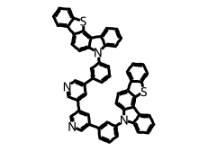 c1cc(-c2cncc(-c3cncc(-c4cccc(-n5c6ccccc6c6c7sc8ccccc8c7ccc65)c4)c3)c2)cc(-n2c3ccccc3c3c4sc5ccccc5c4ccc32)c1